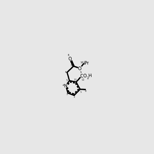 Cc1ccnc(CC(=O)OC(C)C)c1C(=O)O